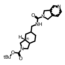 CC(C)(C)OC(=O)N1CC2CCC(CNC(=O)N3Cc4ccncc4C3)C[C@H]2C1